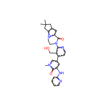 Cn1cc(-c2ccnc(N3CCn4c(cc5c4CC(C)(C)C5)C3=O)c2CO)cc(Nc2ccccn2)c1=O